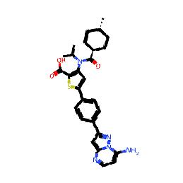 CC(C)N(c1cc(-c2ccc(-c3cc4nccc(N)n4n3)cc2)sc1C(=O)O)C(=O)[C@H]1CC[C@H](C)CC1